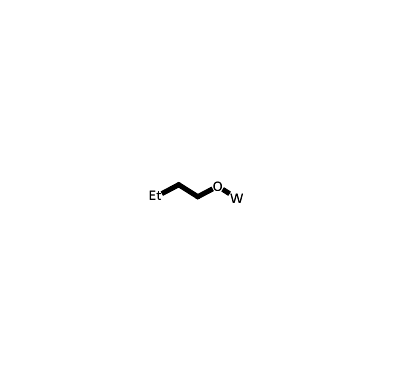 CCCC[O][W]